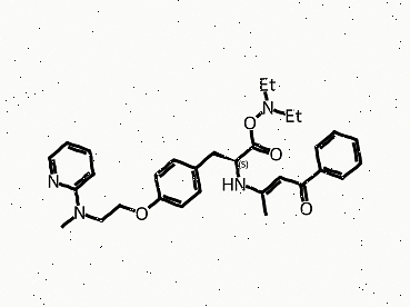 CCN(CC)OC(=O)[C@H](Cc1ccc(OCCN(C)c2ccccn2)cc1)NC(C)=CC(=O)c1ccccc1